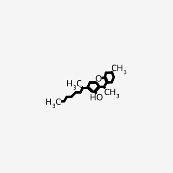 CCCCCCC(C)c1cc(O)c2c(c1)OC1=C(CCC(C)C1)C2C